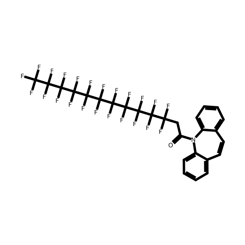 O=C(CC(F)(F)C(F)(F)C(F)(F)C(F)(F)C(F)(F)C(F)(F)C(F)(F)C(F)(F)C(F)(F)C(F)(F)C(F)(F)F)N1c2ccccc2C=Cc2ccccc21